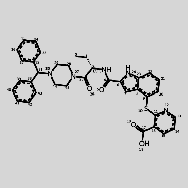 CC[C@H](NC(=O)c1cc2c(Sc3ncccc3C(=O)O)cccc2[nH]1)C(=O)N1CCN(C(c2ccccc2)c2ccccc2)CC1